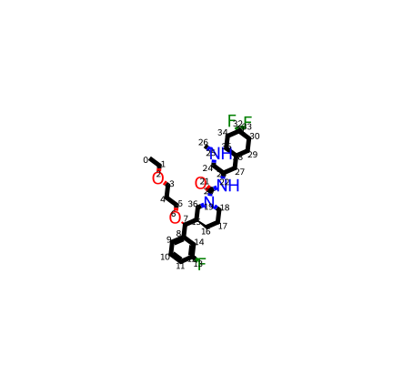 CCOCCCO[C@@H](c1cccc(F)c1)[C@@H]1CCCN(C(=O)NC(CNC)CC2CCC(F)(F)CC2)C1